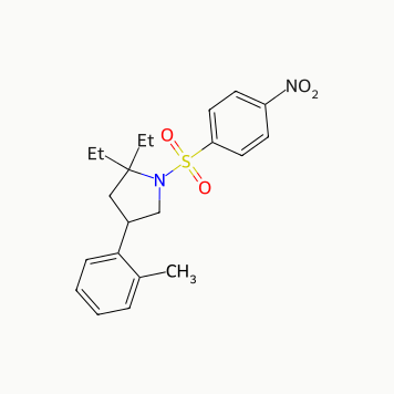 CCC1(CC)CC(c2ccccc2C)CN1S(=O)(=O)c1ccc([N+](=O)[O-])cc1